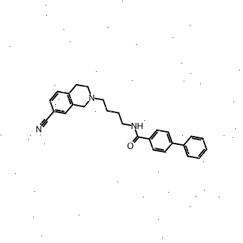 N#Cc1ccc2c(c1)CN(CCCCNC(=O)c1ccc(-c3ccccc3)cc1)CC2